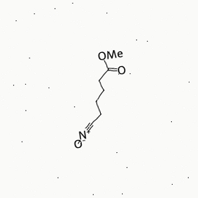 COC(=O)CCCCC#[N+][O-]